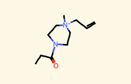 C=CC[N+]1(C)CCN(C(=O)CC)CC1